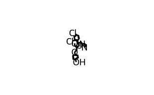 Oc1ccc(OCC2COC(Cn3ccnc3)(c3ccc(Cl)cc3Cl)O2)cc1